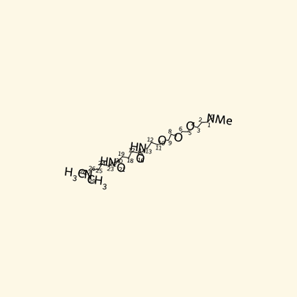 CNCCCOCCOCCOCCCNC(=O)CCCC(=O)NCCCCN(C)C